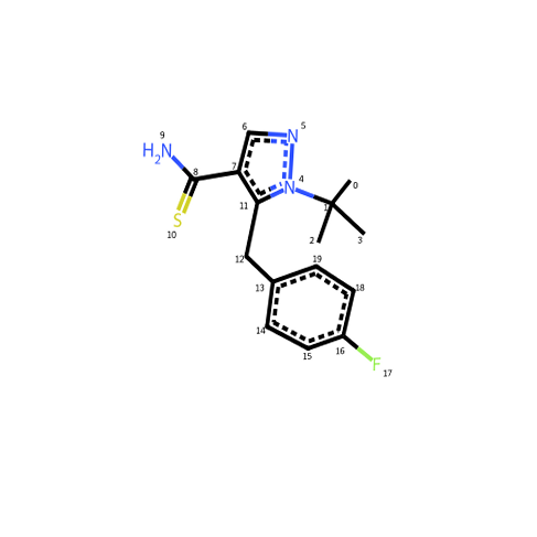 CC(C)(C)n1ncc(C(N)=S)c1Cc1ccc(F)cc1